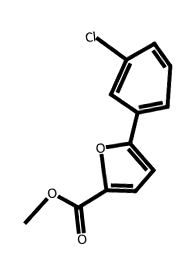 COC(=O)c1ccc(-c2cccc(Cl)c2)o1